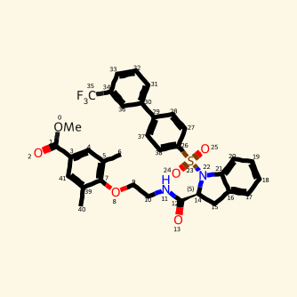 COC(=O)c1cc(C)c(OCCNC(=O)[C@@H]2Cc3ccccc3N2S(=O)(=O)c2ccc(-c3cccc(C(F)(F)F)c3)cc2)c(C)c1